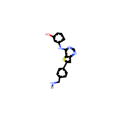 CCNCc1ccc(-c2cc3ncnc(Nc4cccc(O)c4)c3s2)cc1